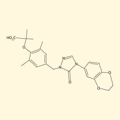 Cc1cc(Cn2ncn(-c3ccc4c(c3)OCCO4)c2=O)cc(C)c1OC(C)(C)C(=O)O